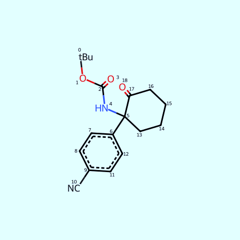 CC(C)(C)OC(=O)NC1(c2ccc(C#N)cc2)CCCCC1=O